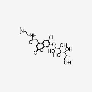 CC(CO)C(O)C(O)C(O)C(O)Oc1cc2oc(=O)cc(CC(=O)NCCN(C)C)c2cc1Cl